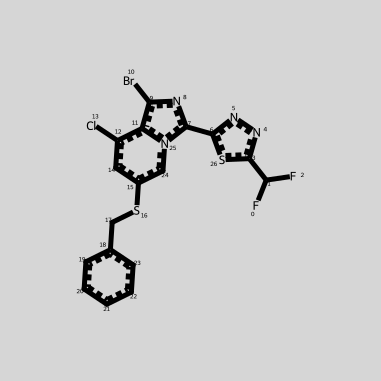 FC(F)c1nnc(-c2nc(Br)c3c(Cl)cc(SCc4ccccc4)cn23)s1